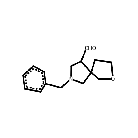 O=CC1CN(Cc2ccccc2)CC12CCOC2